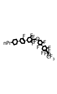 CCCC1CCC([C@@H]2CCC([C@H]3CC(F)=C(C(F)(F)O[C@@H]4CC(F)=C([C@@H]5CC(F)=C(C(F)(F)OC(F)(F)F)C(F)C5)C(F)C4)C(F)C3)=C(F)C2)CC1